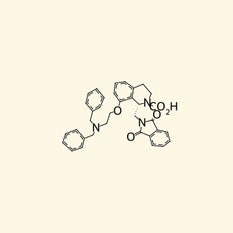 O=C1c2ccccc2C(=O)N1C[C@@H]1c2c(cccc2OCCN(Cc2ccccc2)Cc2ccccc2)CCN1C(=O)O